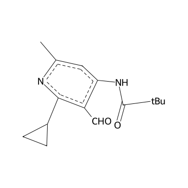 Cc1cc(NC(=O)C(C)(C)C)c(C=O)c(C2CC2)n1